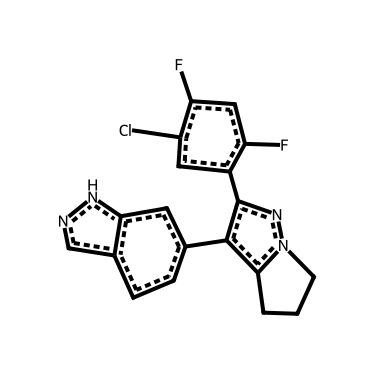 Fc1cc(F)c(-c2nn3c(c2-c2ccc4cn[nH]c4c2)CCC3)cc1Cl